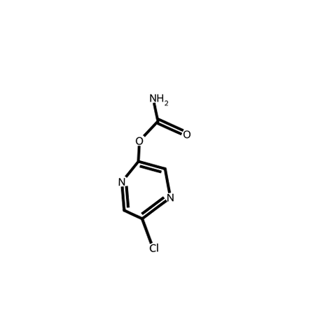 NC(=O)Oc1cnc(Cl)cn1